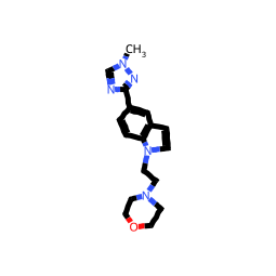 Cn1cnc(-c2ccc3c(ccn3CCN3CCOCC3)c2)n1